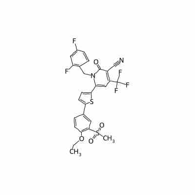 CCOc1ccc(-c2ccc(-c3cc(C(F)(F)F)c(C#N)c(=O)n3Cc3ccc(F)cc3F)s2)cc1S(C)(=O)=O